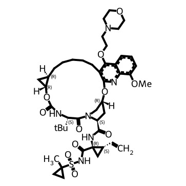 C=C[C@@H]1C[C@]1(NC(=O)[C@@H]1C[C@@H]2CN1C(=O)[C@H](C(C)(C)C)NC(=O)O[C@@H]1C[C@H]1CCCCCc1c(nc3c(OC)cccc3c1OCCN1CCOCC1)O2)C(=O)NS(=O)(=O)C1(C)CC1